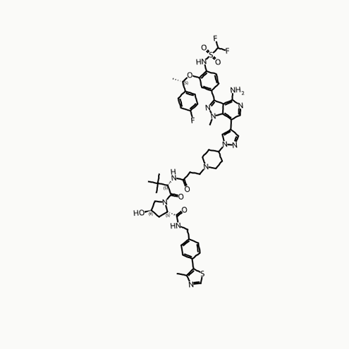 Cc1ncsc1-c1ccc(CNC(=O)[C@@H]2C[C@@H](O)CN2C(=O)[C@@H](NC(=O)CCN2CCC(n3cc(-c4cnc(N)c5c(-c6ccc(NS(=O)(=O)C(F)F)c(O[C@@H](C)c7ccc(F)cc7)c6)nn(C)c45)cn3)CC2)C(C)(C)C)cc1